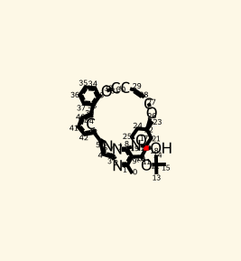 Cc1nc2cc3nn2c(c1[C@H](OC(C)(C)C)C(=O)O)N1CCC(C)(CC1)OCC=CCCOc1ccccc1-c1cccc-3c1